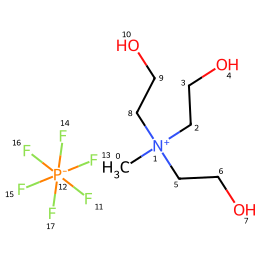 C[N+](CCO)(CCO)CCO.F[P-](F)(F)(F)(F)F